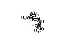 COc1cc(OC)c(Cl)c(-c2ccc3nc(N[C@H]4C[C@@H](CNC(C)=O)N(C(=O)O)C4)ncc3c2)c1Cl